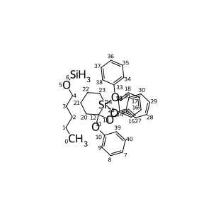 CCCCCO[SiH3].c1ccc(OC2(Oc3ccccc3)CCCC[Si]2(Oc2ccccc2)Oc2ccccc2)cc1